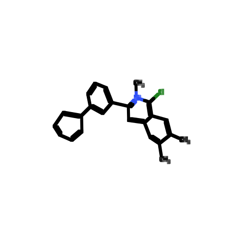 Cc1cc2cc(-c3cccc(-c4ccccc4)c3)[n+](C)c(Cl)c2cc1C